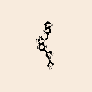 c1cc2sc(Cn3nnc4ncc(-c5cnn(C6COC6)c5)nc43)cc2[nH]1